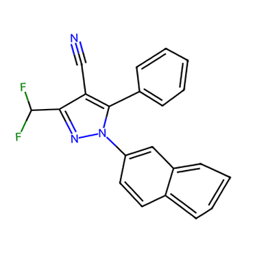 N#Cc1c(C(F)F)nn(-c2ccc3ccccc3c2)c1-c1ccccc1